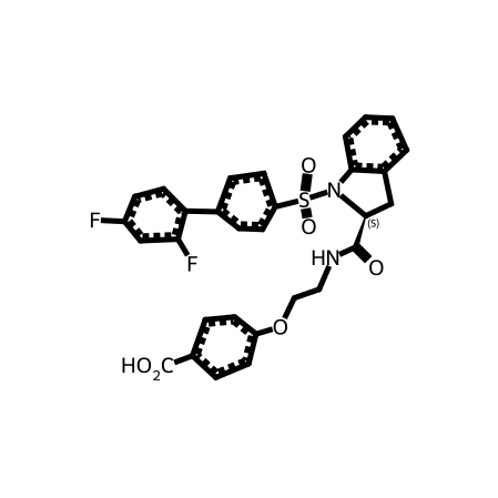 O=C(O)c1ccc(OCCNC(=O)[C@@H]2Cc3ccccc3N2S(=O)(=O)c2ccc(-c3ccc(F)cc3F)cc2)cc1